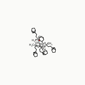 C[Si](C)(CCC1=CC2CCC1C2)O[SiH](O[Si](C)(C)CCC1=CC2CCC1C2)O[Si](O[Si](C)(C)CCC1=CC2CCC1C2)(O[Si](C)(C)CCC1=CC2CCC1C2)C1CCCCC1